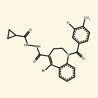 Cc1ccc(C(=O)N2CCC(C(=O)NNC(=O)C3CC3)=C(Br)c3ccccc32)cc1F